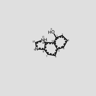 Oc1cccc2ccc3nc[nH]c3c12